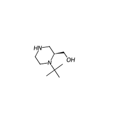 CC(C)(C)N1CCNC[C@H]1CO